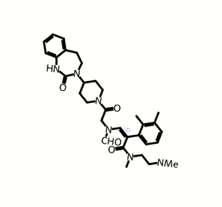 CNCCN(C)C(=O)/C(=C\N(C=O)CC(=O)N1CCC(N2CCc3ccccc3NC2=O)CC1)c1cccc(C)c1C